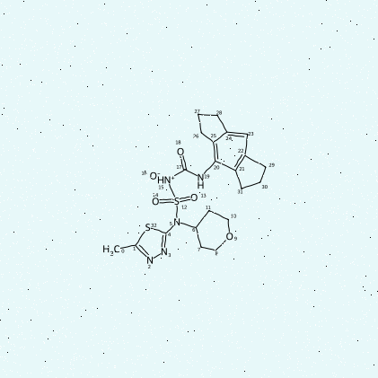 Cc1nnc(N(C2CCOCC2)S(=O)(=O)[NH+]([O-])C(=O)Nc2c3c(cc4c2CCC4)CCC3)s1